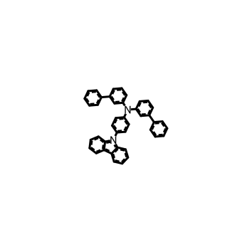 c1ccc(-c2cccc(N(c3ccc(-n4c5ccccc5c5ccccc54)cc3)c3cccc(-c4ccccc4)c3)c2)cc1